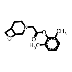 Cc1cccc(C)c1OC(=O)CN1CCC2COC2C1